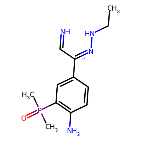 CCN/N=C(\C=N)c1ccc(N)c(P(C)(C)=O)c1